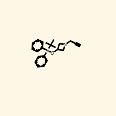 C#CCN1CC(O[Si](c2ccccc2)(c2ccccc2)C(C)(C)C)C1